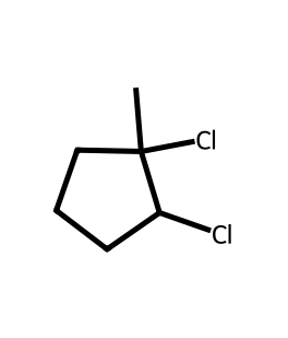 CC1(Cl)CCCC1Cl